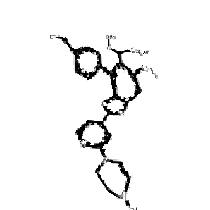 CCCCOC(C(=O)O)c1c(C)cc2nc(-c3ccnc(N4CCN(C)CC4)c3)sc2c1-c1ccc(Cl)cc1